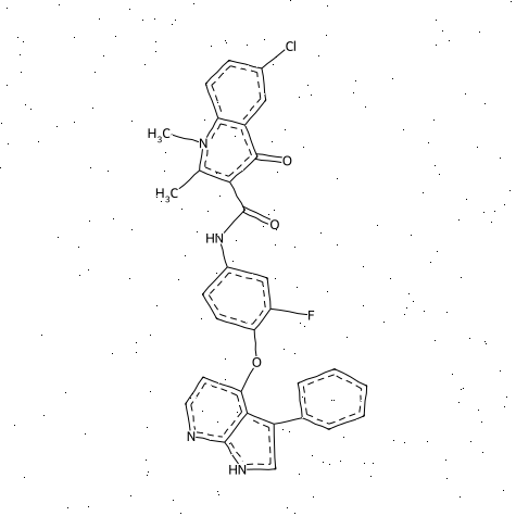 Cc1c(C(=O)Nc2ccc(Oc3ccnc4[nH]cc(-c5ccccc5)c34)c(F)c2)c(=O)c2cc(Cl)ccc2n1C